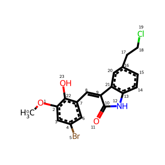 COc1cc(Br)cc(C=C2C(=O)Nc3ccc(CCCl)cc32)c1O